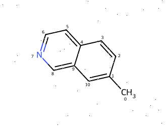 Cc1c[c]c2ccncc2c1